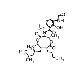 CCCC[C@@H]1C(=O)O[C@@H](C)[C@@H](N(C)C(=O)c2cccc(NC=O)c2O)C(=O)O[C@H](C)[C@@H]1CC(=O)CC(C)C